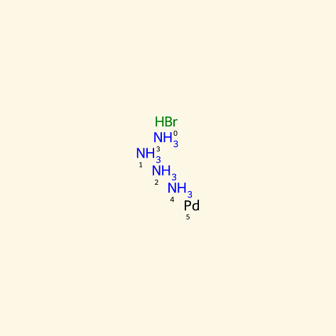 Br.N.N.N.N.[Pd]